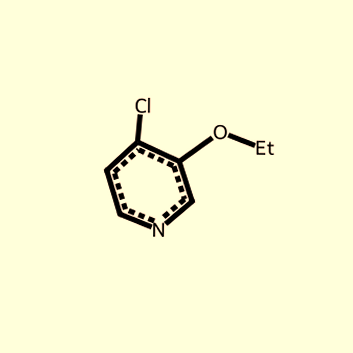 CCOc1cnccc1Cl